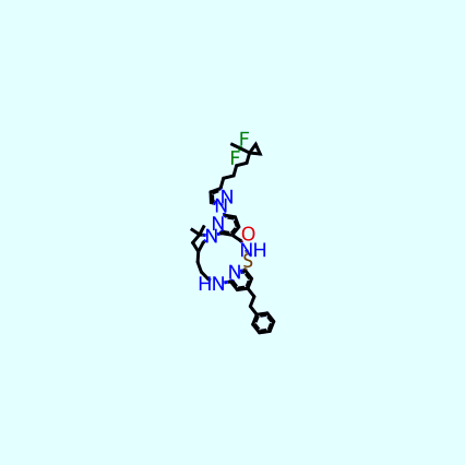 CC1(C)CC2CCCNc3cc(CCc4ccccc4)cc(n3)SNC(=O)c3ccc(-n4ccc(CCCCC5(C(C)(F)F)CC5)n4)nc3N1C2